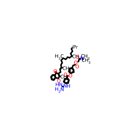 CC1=C(C/C=C(\C)CCC[C@H](C)CCC[C@H](C)CCCC(C)C)C(=O)c2ccccc2C1=O.CN(C)C(=O)COC(=O)Cc1ccc(OC(=O)c2ccc(NC(=N)N)cc2)cc1